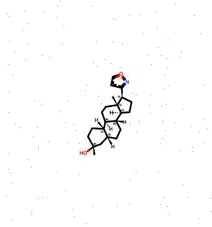 C[C@@]1(O)CC[C@H]2[C@H](CC[C@@H]3[C@@H]2CC[C@]2(C)[C@@H](c4ccon4)CC[C@@H]32)C1